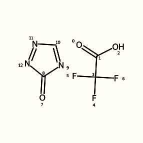 O=C(O)C(F)(F)F.O=C1N=CN=N1